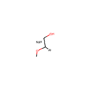 CO[CH]([Al])CO.[NaH]